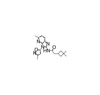 Cc1cc(-n2c(NC(=O)CC3CC(C)(C)C3)nc3ccc(C)nc32)on1